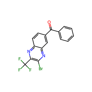 O=C(c1ccccc1)c1ccc2nc(C(F)(F)F)c(Br)nc2c1